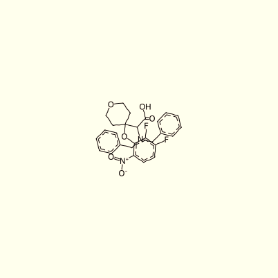 O=C(O)C(N(Cc1ccccc1)Cc1ccccc1)C1(Oc2c([N+](=O)[O-])ccc(F)c2F)CCOCC1